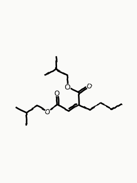 CCCCC(=CC(=O)OCC(C)C)C(=O)OCC(C)C